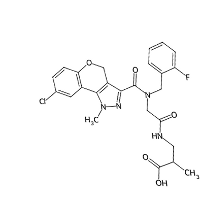 CC(CNC(=O)CN(Cc1ccccc1F)C(=O)c1nn(C)c2c1COc1ccc(Cl)cc1-2)C(=O)O